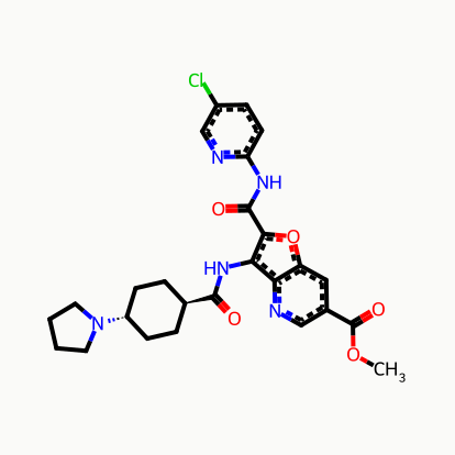 COC(=O)c1cnc2c(NC(=O)[C@H]3CC[C@H](N4CCCC4)CC3)c(C(=O)Nc3ccc(Cl)cn3)oc2c1